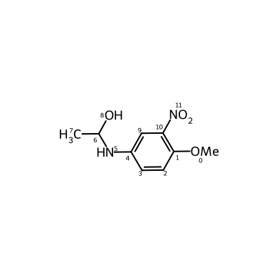 COc1ccc(NC(C)O)cc1[N+](=O)[O-]